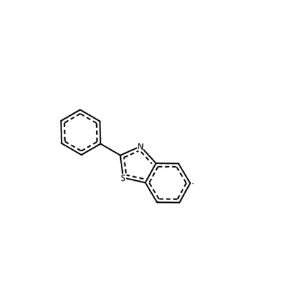 [c]1ccc2sc(-c3ccccc3)nc2c1